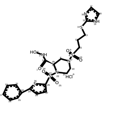 Cl.O=C(NO)[C@H]1CN(S(=O)(=O)CCCSc2ncc[nH]2)CCN1S(=O)(=O)c1ccc(-c2ccccc2)s1